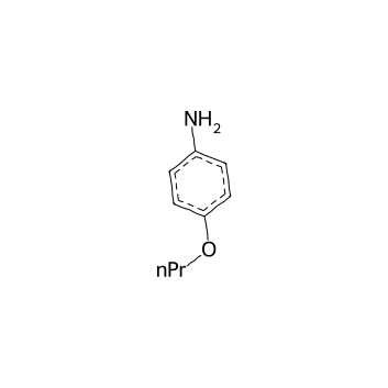 C[CH]COc1ccc(N)cc1